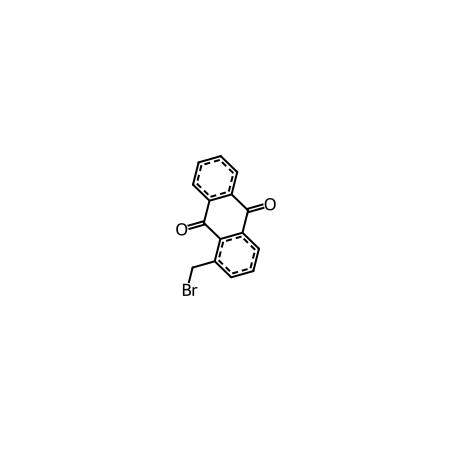 O=C1c2ccccc2C(=O)c2c(CBr)cccc21